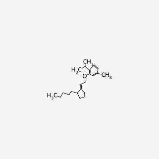 CCCCCC1CCCC1=CCOc1cc(C)ccc1C(C)C